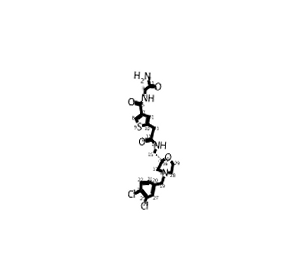 NC(=O)CNC(=O)c1csc(CC(=O)NC[C@H]2CN(Cc3ccc(Cl)c(Cl)c3)CCO2)c1